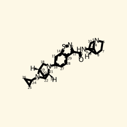 O=C(N[C@@H]1CN2CCC1CC2)c1nsc2cc(N3C[C@@H]4C[C@H]3CN4C3CC3)ccc12